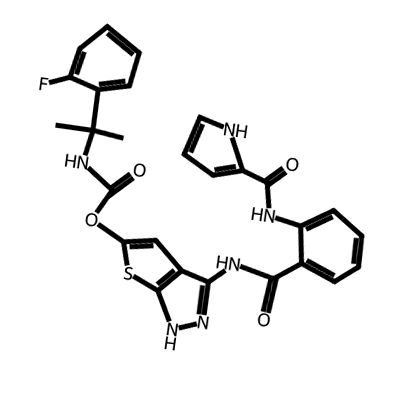 CC(C)(NC(=O)Oc1cc2c(NC(=O)c3ccccc3NC(=O)c3ccc[nH]3)n[nH]c2s1)c1ccccc1F